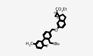 CCOC(=O)[C@@H]1C[C@]12CCc1ccc(OCc3ccc(-c4cc(C)ccc4F)c(CC(C)(C)C)c3)cc12